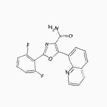 NC(=O)c1nc(-c2c(F)cccc2F)oc1-c1cccc2cccnc12